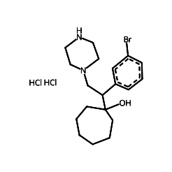 Cl.Cl.OC1(C(CN2CCNCC2)c2cccc(Br)c2)CCCCCC1